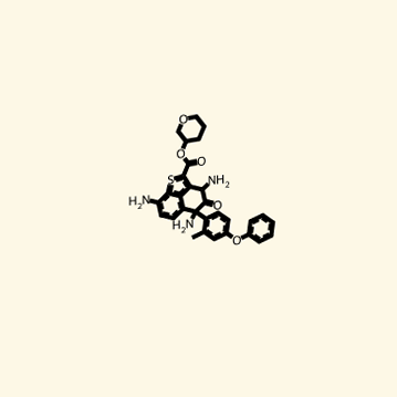 Cc1cc(Oc2ccccc2)ccc1C1(N)C(=O)C(N)c2c(C(=O)OC3CCCOC3)sc3c(N)ccc1c23